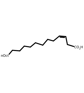 CCCCCCCCCCCCCCCC/C=C\CC(=O)O